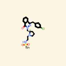 CCCS(=O)(=O)NCCN1CCC[C@@H]1Cn1nc(Cc2ccc(Cl)cc2)c2ccccc2c1=O